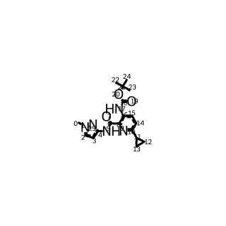 Cn1ccc(NC(=O)c2nc(C3CC3)ccc2NC(=O)OC(C)(C)C)n1